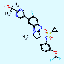 C[C@H]1C[C@@H](N(c2cccc(OC(F)F)c2)S(=O)(=O)C2CC2)c2nc3cc(F)c(-c4cnc(C(C)(C)O)nc4)cc3n21